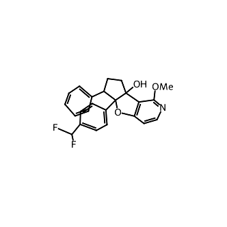 COc1nccc2c1C1(O)CCC(c3ccccc3)C1(c1ccc(C(F)F)cc1)O2